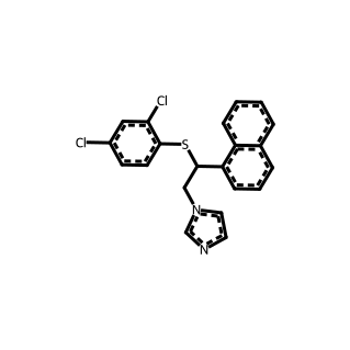 Clc1ccc(SC(Cn2ccnc2)c2cccc3ccccc23)c(Cl)c1